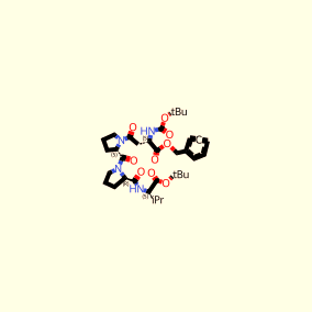 CC(C)[C@H](NC(=O)[C@H]1CCCN1C(=O)[C@@H]1CCCN1C(=O)C[C@H](NC(=O)OC(C)(C)C)C(=O)OCc1ccccc1)C(=O)OC(C)(C)C